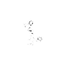 O=C(N[C@@H]1C[C@@H](Cn2ccnn2)N(C(=O)O)C1)c1ncc(-c2ccccc2C2CC2)o1